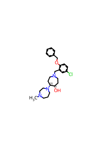 CN1CCCN([C@H]2CCN(Cc3cc(Cl)ccc3OCc3ccccc3)CC[C@@H]2O)CC1